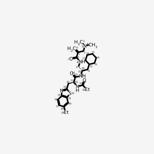 C=C(CN(C)C)C(=O)NC[C@H](CC1CCCCC1)NC(=O)[C@H](Cc1nc2ccc(CC)cc2s1)NC(=O)CC